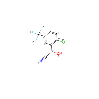 N#CC(O)c1cc(C(F)(F)F)ccc1Cl